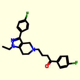 CCn1nc(-c2ccc(F)cc2)c2c1CCN(CCCC(=O)c1ccc(F)cc1)C2